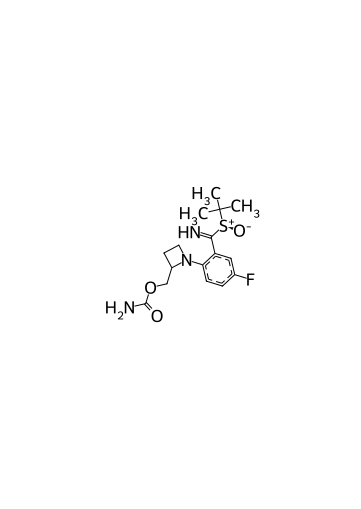 CC(C)(C)[S@@+]([O-])C(=N)c1cc(F)ccc1N1CCC1COC(N)=O